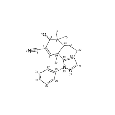 CC1(C)C(=O)C(C#N)=CC2(C)c3c(cnn3-c3ccccc3)CCC12